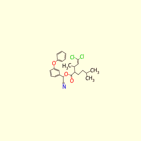 CC(C)CCC(C(=O)OC(C#N)c1cccc(Oc2ccccc2)c1)C(C)C=C(Cl)Cl